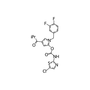 CC(C)C(=O)c1cc(OC(=O)Nc2ncc(Cl)s2)n(Cc2ccc(F)c(F)c2)c1